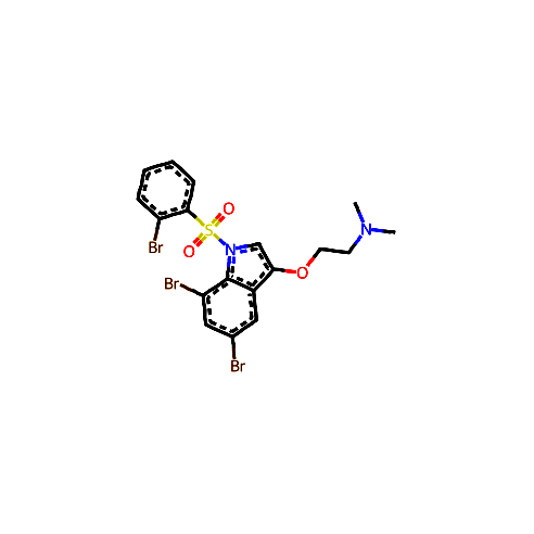 CN(C)CCOc1cn(S(=O)(=O)c2ccccc2Br)c2c(Br)cc(Br)cc12